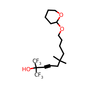 CC(C)(CC#CC(O)(C(F)(F)F)C(F)(F)F)CCCCOC1CCCCO1